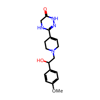 COc1ccc(C(O)CN2CC=C(C3=NNC(=O)CN3)CC2)cc1